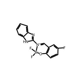 Fc1ccc2c(c1)C=[N+](c1nc3ccccc3[nH]1)[B-](F)(F)O2